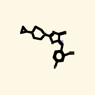 O=C1N=C(N2CCN(C3CC3)CC2)S/C1=C\c1ccc(F)cc1O